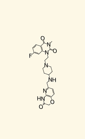 Cn1c(=O)c2ccc(F)cc2n(CCN2CCC(NCc3ccc4c(n3)NC(=O)CO4)CC2)c1=O